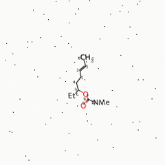 C/C=C/CCC(CC)OC(=O)NC